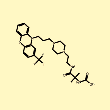 CC(C)(NC(=O)O)C(=O)NCCN1CCN(CCCN2c3ccccc3Sc3ccc(C(F)(F)F)cc32)CC1